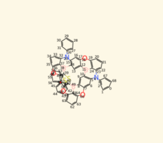 c1ccc(N2c3cc4c(cc3B3c5cc6c(cc5Oc5cccc2c53)N(c2ccccc2)c2cccc3c2B6c2sc5ccccc5c2O3)B2c3sc5ccccc5c3Oc3cccc(c32)O4)cc1